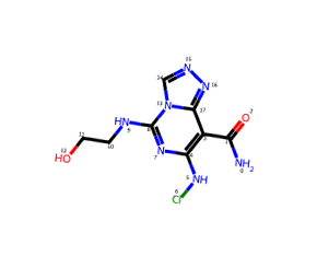 NC(=O)c1c(NCl)nc(NCCO)n2cnnc12